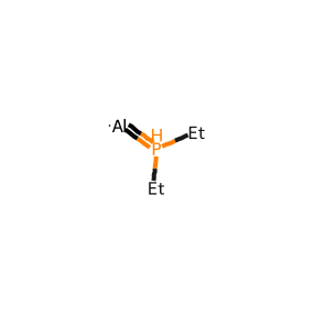 CC[PH](=[Al])CC